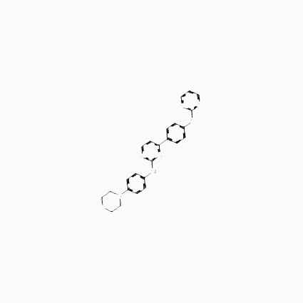 c1cnc(Nc2ccc(-c3ccnc(Nc4ccc(N5CCOCC5)cc4)n3)cc2)nc1